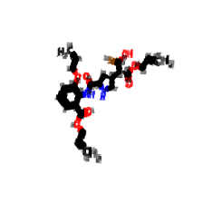 C=CCOC(=O)c1cccc(OCC=C)c1NC(=O)C1C[C@@H]([C@@H](C(=O)OCC=C)C(O)=S)CN1